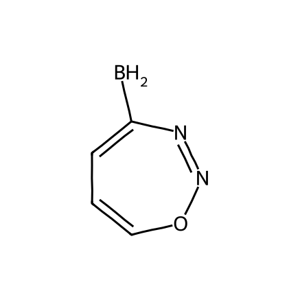 BC1=CC=CON=N1